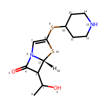 CC(O)C1C(=O)N2C=C(SC3CCNCC3)S[C@H]12